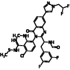 CNc1c(-n2c(C(Cc3cc(F)cc(F)c3)NC=O)nc3cc(-c4cnn(CC(F)F)c4)ccc3c2=O)ccc(Cl)c1C(=N)NSC